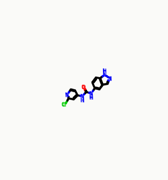 O=C(Nc1ccnc(Cl)c1)Nc1ccc2[nH]ncc2c1